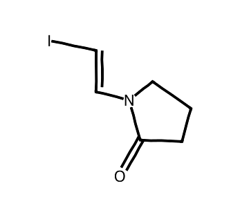 O=C1CCCN1C=CI